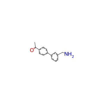 CC(=O)c1ccc(-c2cccc(CN)c2)cc1